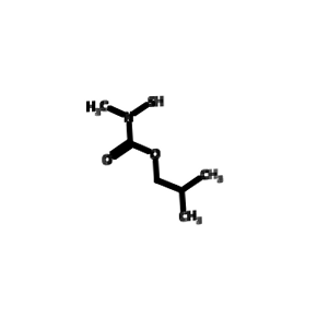 CC(C)COC(=O)N(C)S